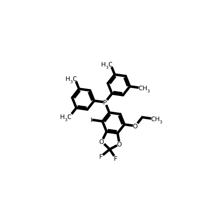 CCOc1cc(P(c2cc(C)cc(C)c2)c2cc(C)cc(C)c2)c(I)c2c1OC(F)(F)O2